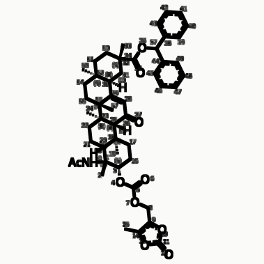 CC(=O)N[C@]1(C)[C@@H](OC(=O)OCc2oc(=O)oc2C)CC[C@@]2(C)[C@H]1CC[C@]1(C)[C@@H]2C(=O)C=C2[C@@H]3C[C@@](C)(C(=O)OC(c4ccccc4)c4ccccc4)CC[C@]3(C)CC[C@]21C